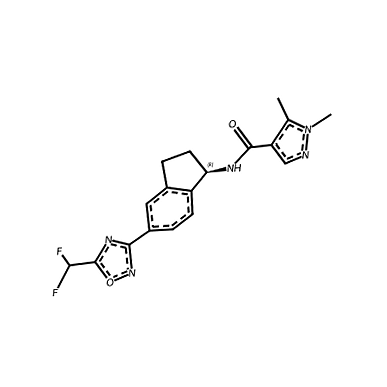 Cc1c(C(=O)N[C@@H]2CCc3cc(-c4noc(C(F)F)n4)ccc32)cnn1C